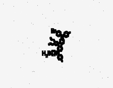 Bc1ccc(N(c2ccc(C)cc2)c2ccc3c(c2)C(CCCC=C)(CCCC=C)c2cc(N(c4ccc(C)cc4)c4ccc(Br)cc4)ccc2-3)cc1